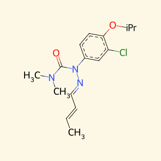 C/C=C/C=N/N(C(=O)N(C)C)c1ccc(OC(C)C)c(Cl)c1